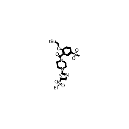 CCS(=O)(=O)c1cnc(N2CCN(C(=O)c3cc(S(C)(=O)=O)ccc3OCC(C)(C)C)CC2)s1